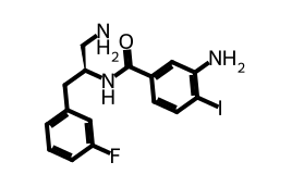 NC[C@H](Cc1cccc(F)c1)NC(=O)c1ccc(I)c(N)c1